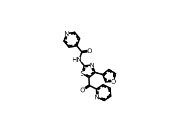 O=C(Nc1nc(-c2ccoc2)c(C(=O)c2ccccn2)s1)c1ccncc1